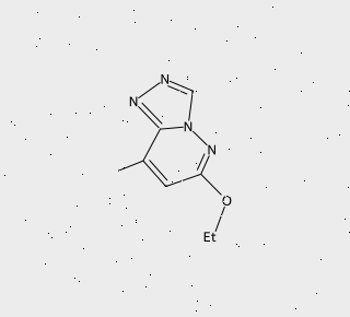 CCOc1cc(C)c2nncn2n1